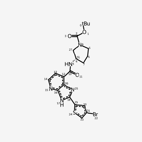 CC(C)(C)OC(=O)N1CCC[C@H](NC(=O)c2ccnc3[nH]c(-c4cc(Br)cs4)nc23)C1